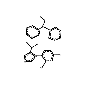 CC(C)c1cncn1-c1ccc(F)cc1Cl.CCB(c1ccccc1)c1ccccc1